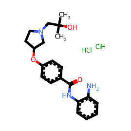 CC(C)(O)CN1CCC(Oc2ccc(C(=O)Nc3ccccc3N)cc2)C1.Cl.Cl